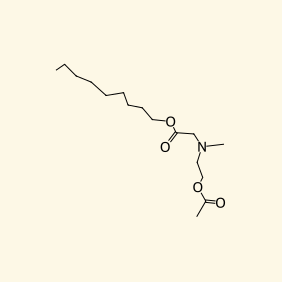 CCCCCCCCCOC(=O)CN(C)CCOC(C)=O